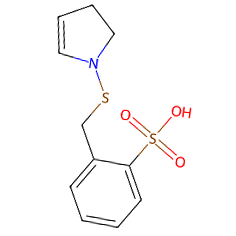 O=S(=O)(O)c1ccccc1CSN1C=CCC1